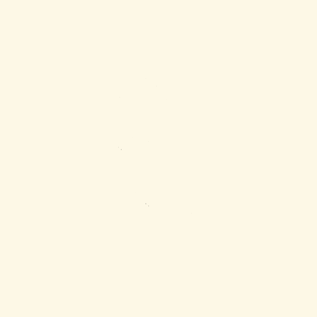 CC1(C)c2ccccc2-c2ccc(-n3c4ccccc4c4cc5c6ccccc6n(-c6ccc7c(c6)sc6ccccc67)c5cc43)cc21